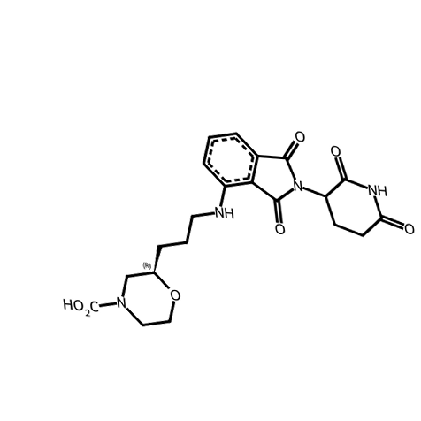 O=C1CCC(N2C(=O)c3cccc(NCCC[C@@H]4CN(C(=O)O)CCO4)c3C2=O)C(=O)N1